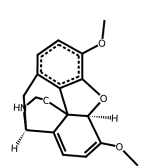 COC1=CC=C2[C@H]3Cc4ccc(OC)c5c4C2(CCN3)[C@H]1O5